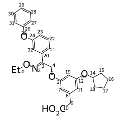 CCON=C(COc1cc(CC(=O)O)cc(OC2CCCC2)c1)c1cccc(Oc2ccccc2)c1